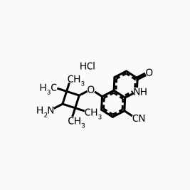 CC1(C)C(N)C(C)(C)C1Oc1ccc(C#N)c2[nH]c(=O)ccc12.Cl